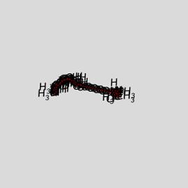 Cc1sc2c(c1C)C(c1ccc(Cl)cc1)=N[C@@H](CC(=O)Nc1ccc(CCCOCCOCCOCCOCCOCCOCCOCCOCCNC(=O)CCNC(=O)c3cc(NC(=O)CCNC(=O)c4cc(NC(=O)c5nc(NC(=O)CCNC(=O)c6cc(NC(=O)c7nccn7C)cn6C)cn5C)cn4C)cn3C)cc1)c1nnc(C)n1-2